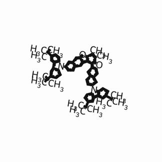 Cc1c(C)c2oc3cc4cc(-n5c6ccc(C(C)(C)C)cc6c6cc(C(C)(C)C)ccc65)ccc4cc3c2c2c1oc1cc3cc(-n4c5ccc(C(C)(C)C)cc5c5cc(C(C)(C)C)ccc54)ccc3cc12